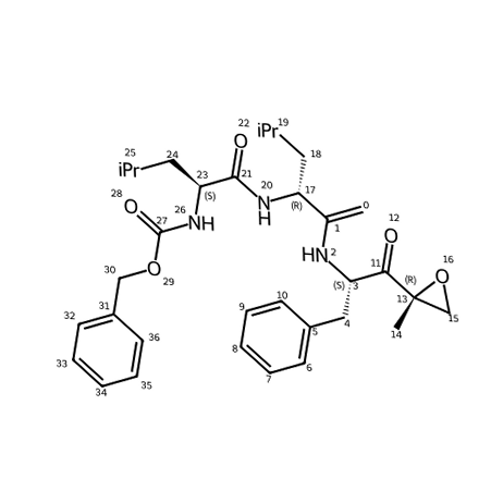 C=C(N[C@@H](Cc1ccccc1)C(=O)[C@@]1(C)CO1)[C@@H](CC(C)C)NC(=O)[C@H](CC(C)C)NC(=O)OCc1ccccc1